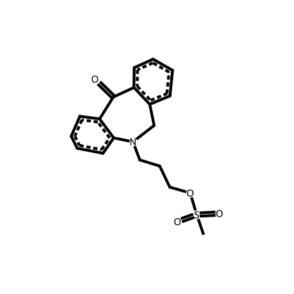 CS(=O)(=O)OCCCN1Cc2ccccc2C(=O)c2ccccc21